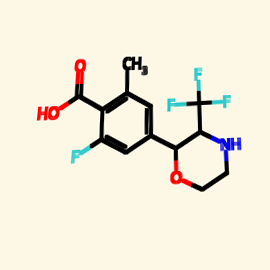 Cc1cc(C2OCCNC2C(F)(F)F)cc(F)c1C(=O)O